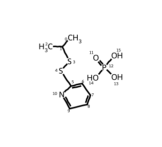 CC(C)SSc1ccccn1.O=P(O)(O)O